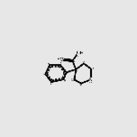 O=C(O)C1(c2ccccc2)CC[N]CC1